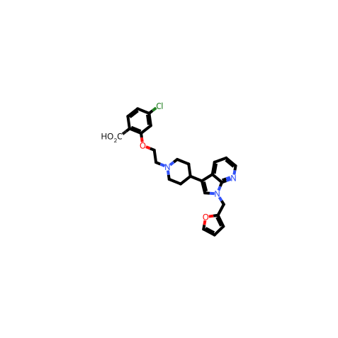 O=C(O)c1ccc(Cl)cc1OCCN1CCC(c2cn(Cc3ccco3)c3ncccc23)CC1